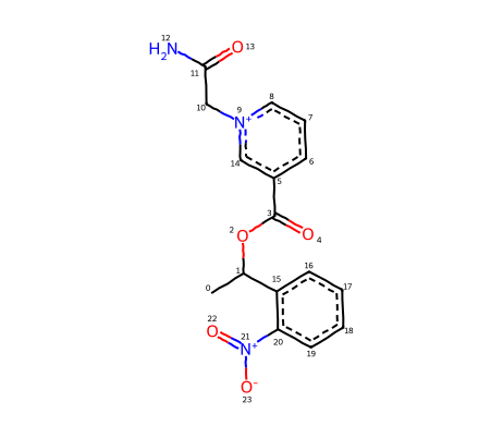 CC(OC(=O)c1ccc[n+](CC(N)=O)c1)c1ccccc1[N+](=O)[O-]